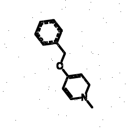 CN1C=CC(OCc2ccccc2)=CC1